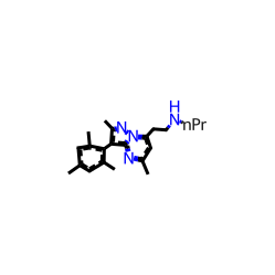 CCCNCCc1cc(C)nc2c(-c3c(C)cc(C)cc3C)c(C)nn12